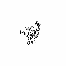 C#CC(Nc1nc(C)nc(CC(=O)NC2CCCCC2)c1C1OCCO1)c1cccc(C(F)(F)F)c1